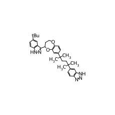 CC(C)(C)c1ccc2[nH]nc(C3CCOc4ccc(C(C)(C)CCC(C)(C)c5ccc6nn[nH]c6c5)cc4O3)c2c1